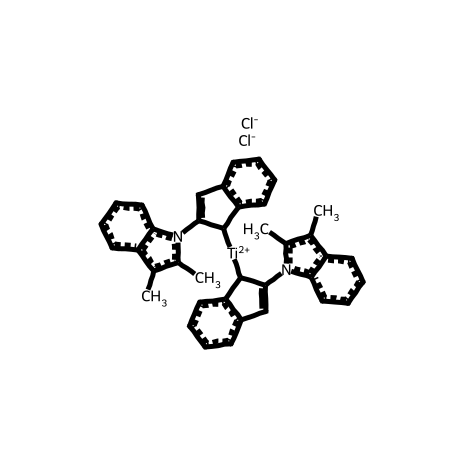 Cc1c(C)n(C2=Cc3ccccc3[CH]2[Ti+2][CH]2C(n3c(C)c(C)c4ccccc43)=Cc3ccccc32)c2ccccc12.[Cl-].[Cl-]